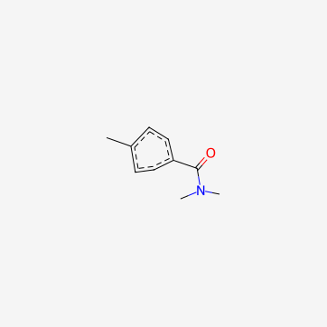 Cc1ccc(C(=O)N(C)C)cc1